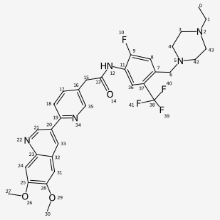 CCN1CCN(Cc2cc(F)c(NC(=O)Cc3ccc(-c4cnc5cc(OC)c(OC)cc5c4)nc3)cc2C(F)(F)F)CC1